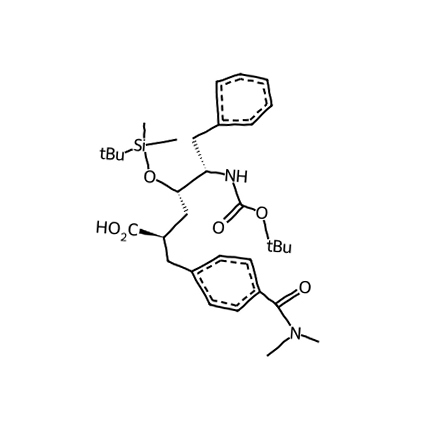 CN(C)C(=O)c1ccc(C[C@H](C[C@H](O[Si](C)(C)C(C)(C)C)[C@H](Cc2ccccc2)NC(=O)OC(C)(C)C)C(=O)O)cc1